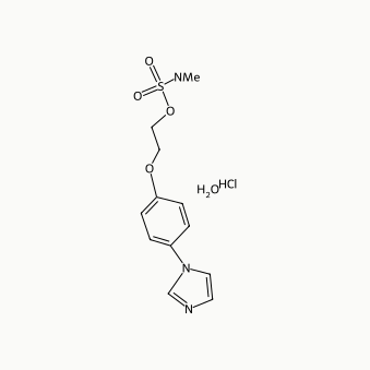 CNS(=O)(=O)OCCOc1ccc(-n2ccnc2)cc1.Cl.O